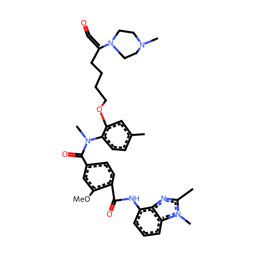 COc1cc(C(=O)N(C)c2ccc(C)cc2OCCCCC(=C=O)N2CCN(C)CC2)ccc1C(=O)Nc1cccc2c1nc(C)n2C